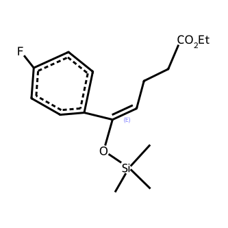 CCOC(=O)CC/C=C(/O[Si](C)(C)C)c1ccc(F)cc1